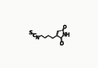 O=C1C=C(CCCCN=C=S)C(=O)N1